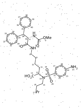 COC(=O)N[C@H](C(=O)NCCCCC(C(=O)O)N(CCC(C)C)S(=O)(=O)c1ccc(N)cc1)C(c1ccccc1)c1ccccc1